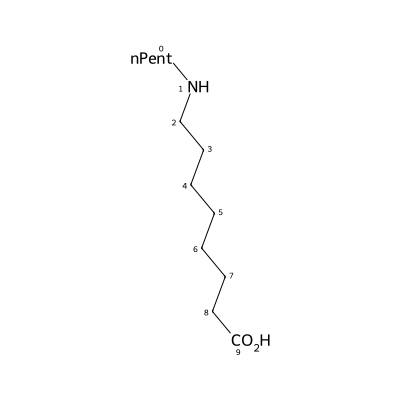 CCCCCNCCCCCCCC(=O)O